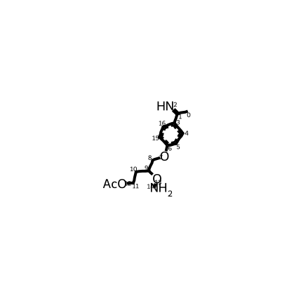 CC(=N)c1ccc(OCC(CCOC(C)=O)ON)cc1